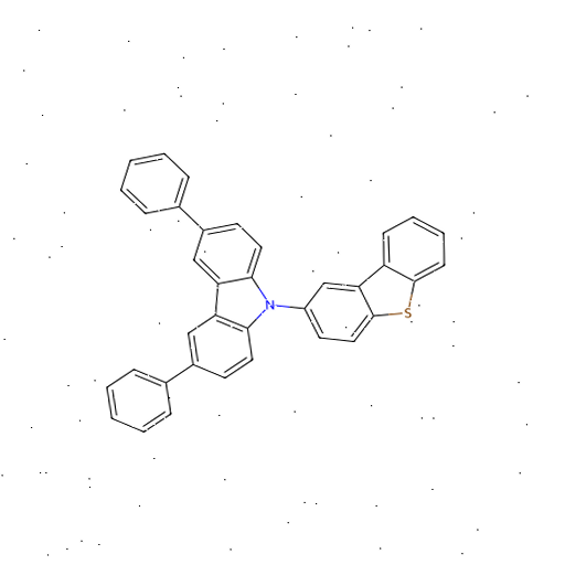 c1ccc(-c2ccc3c(c2)c2cc(-c4ccccc4)ccc2n3-c2ccc3sc4ccccc4c3c2)cc1